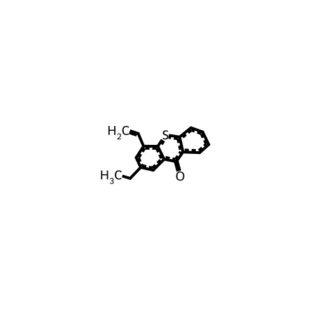 C=Cc1cc(CC)cc2c(=O)c3ccccc3sc12